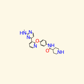 CNc1nccc(-c2cccnc2Oc2ccc(NC(=O)C3CCNCC3)cc2)n1